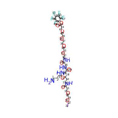 NCCCC(=O)N[C@@H](CCCCNC(=O)CCOCCOCI)C(=O)NCC(=O)NCCOCCOCCOCCOCCC(=O)Oc1c(F)c(F)c(F)c(F)c1F